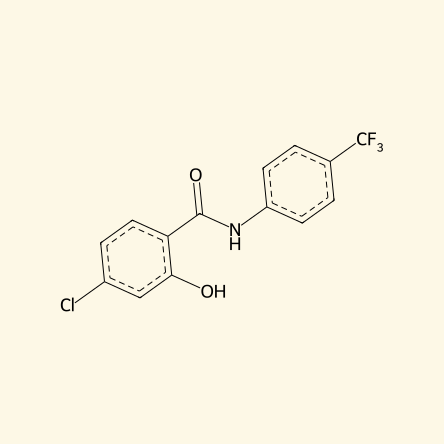 O=C(Nc1ccc(C(F)(F)F)cc1)c1ccc(Cl)cc1O